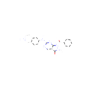 CCn1c(=O)c2cnc(Nc3ccc4c(c3)CCNC4)nc2n1C(=O)c1ccccc1